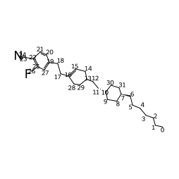 CCCCCCC[C@H]1CC[C@H](CCC2CC=C(CCc3ccc(C#N)c(F)c3)CC2)CC1